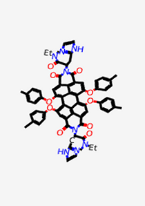 CCN(C)C(=O)C(Cc1ncc[nH]1)N1C(=O)c2cc(Oc3ccc(C)cc3)c3c4c(Oc5ccc(C)cc5)cc5c6c(cc(Oc7ccc(C)cc7)c(c7c(Oc8ccc(C)cc8)cc(c2c37)C1=O)c64)C(=O)N(C(Cc1ncc[nH]1)C(=O)N(C)CC)C5=O